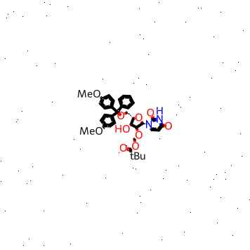 COc1ccc(C(OC[C@@H]2O[C@H](n3ccc(=O)[nH]c3=O)C(OCOC(=O)C(C)(C)C)C2O)(c2ccccc2)c2ccc(OC)cc2)cc1